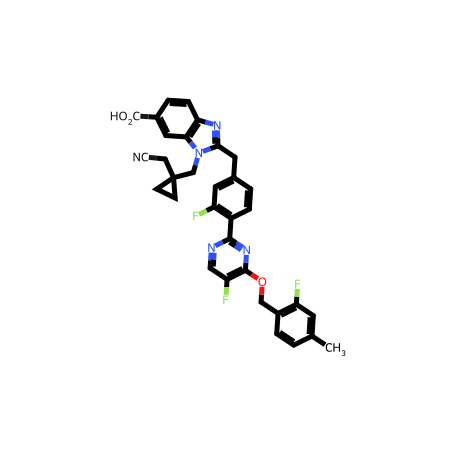 Cc1ccc(COc2nc(-c3ccc(Cc4nc5ccc(C(=O)O)cc5n4CC4(CC#N)CC4)cc3F)ncc2F)c(F)c1